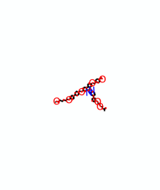 C=C(C)CCOCCOc1cccc(-c2ccc3nc4c5cc(OCC6CCC(C=O)CC6)ccc5c5ccc(OCC6CCC(c7ccc(OCCCCCCOC)cc7)CC6)cc5c4nc3c2)c1